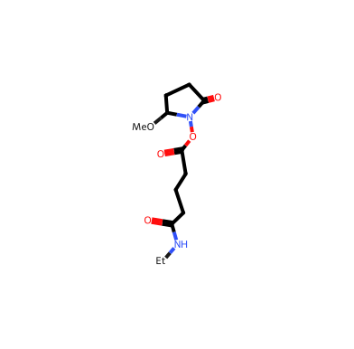 CCNC(=O)CCCC(=O)ON1C(=O)CCC1OC